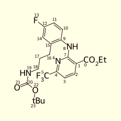 CCOC(=O)c1ccc(C(F)(F)F)nc1Nc1ccc(F)cc1CCCNC(=O)OC(C)(C)C